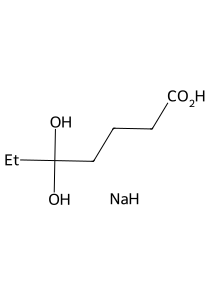 CCC(O)(O)CCCC(=O)O.[NaH]